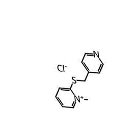 C[n+]1ccccc1SCc1ccncc1.[Cl-]